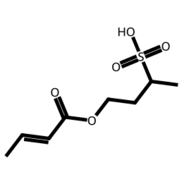 CC=CC(=O)OCCC(C)S(=O)(=O)O